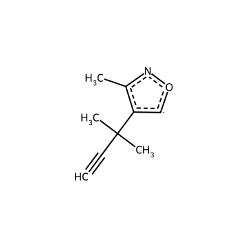 C#CC(C)(C)c1[c]onc1C